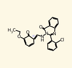 CCOC1=CC=C/C(=C\Nn2c(-c3ccccc3Cl)nc3ccccc3c2=O)C1=O